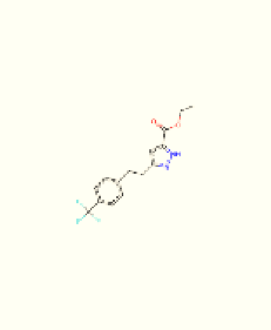 CCOC(=O)c1cc(CCc2ccc(C(F)(F)F)cc2)n[nH]1